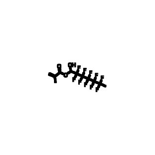 C=C(C)C(=O)OC(O)C(F)(F)C(F)(F)C(F)(F)C(F)(F)C(C)(F)F